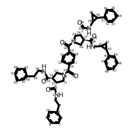 O=C(NCCc1ccccc1)[C@H]1CN(C(=O)c2ccc(C(=O)N3C[C@H](C(=O)NC4CC4c4ccccc4)[C@@H](C(=O)NC4CC4c4ccccc4)C3)cc2)C[C@@H]1C(=O)NCCc1ccccc1